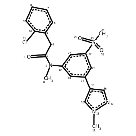 CN(C(=O)Cc1ccccc1Cl)c1cc(-c2cnn(C)c2)cc(S(C)(=O)=O)c1